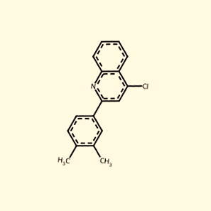 Cc1ccc(-c2cc(Cl)c3ccccc3n2)cc1C